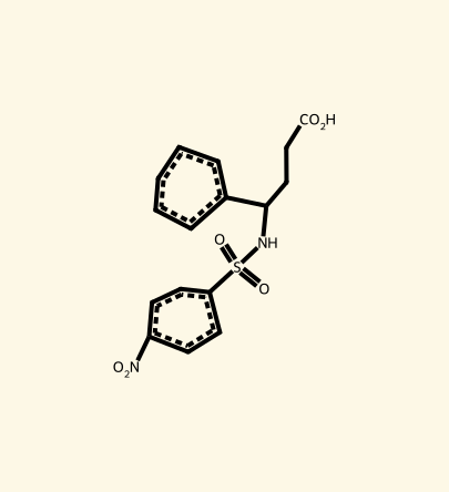 O=C(O)CCC(NS(=O)(=O)c1ccc([N+](=O)[O-])cc1)c1ccccc1